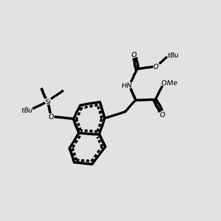 COC(=O)C(Cc1ccc(O[Si](C)(C)C(C)(C)C)c2ccccc12)NC(=O)OC(C)(C)C